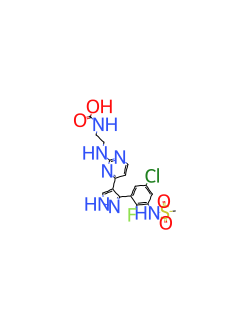 CS(=O)(=O)Nc1cc(Cl)cc(-c2n[nH]cc2-c2ccnc(NCCNC(=O)O)n2)c1F